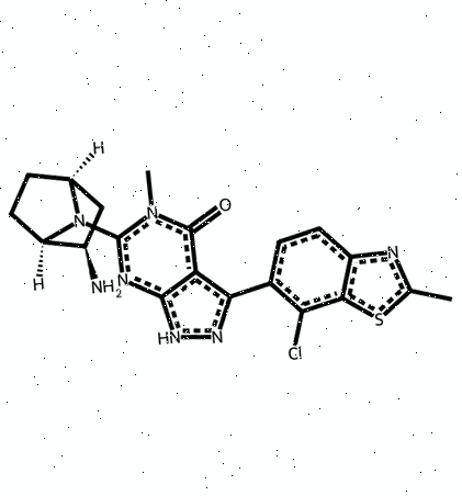 Cc1nc2ccc(-c3n[nH]c4nc(N5[C@H]6CC[C@@H]5[C@H](N)C6)n(C)c(=O)c34)c(Cl)c2s1